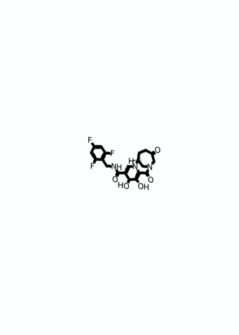 O=C1CC[C@H]2CN(C1)C(=O)C1=C(O)C(O)C(C(=O)NCc3c(F)cc(F)cc3F)=CN12